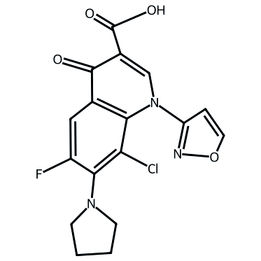 O=C(O)c1cn(-c2ccon2)c2c(Cl)c(N3CCCC3)c(F)cc2c1=O